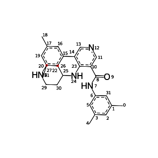 Cc1cc(C)cc(NC(=O)c2cncc(-c3cc(C)cc(C)c3)c2NC2CCNCC2)c1